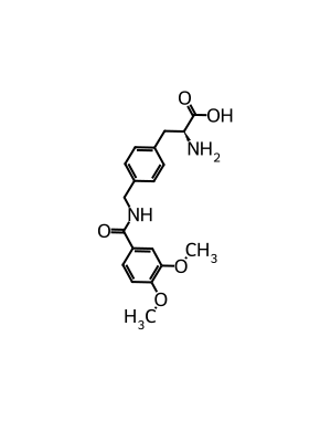 COc1ccc(C(=O)NCc2ccc(C[C@H](N)C(=O)O)cc2)cc1OC